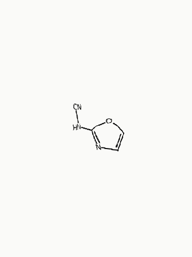 N#CNc1ncco1